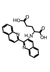 N[C@@H](CCC(=O)O)C(=O)O.c1ccc2nc(-c3ccc4ccccc4n3)ccc2c1